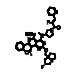 COc1nc(-c2ccccc2C(F)(F)F)c(F)c2nc(OC[C@@]34CCCN3C[C@H](F)C4)nc(N(C)[C@@H]3CCN(C(=O)/C(F)=C/c4ccccn4)C3)c12